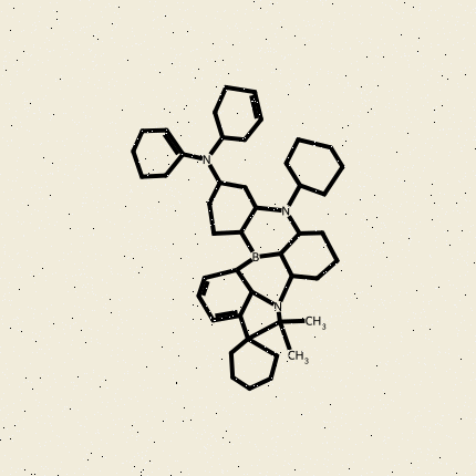 CC1(C)N2C3CCCC4C3B(C3C=CC=C(C32)C12CCCCC2)C1CCC(N(C2=CCCCC2)C2CC=CCC2)CC1N4C1CCCCC1